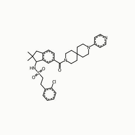 CC1(C)Cc2ccc(C(=O)N3CCC4(CC3)CCN(c3ccncc3)CC4)cc2C1NS(=O)(=O)CCc1ccccc1Cl